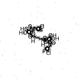 O=C1c2c(O)c(O)cc(S(=O)(=O)NCCCCCNS(=O)(=O)c3cc(O)c(O)c4c3CN(Cc3ccc(F)c(Cl)c3)C4=O)c2CN1Cc1ccc(F)c(Cl)c1